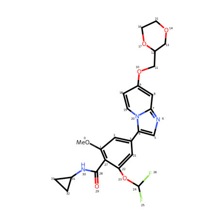 COc1cc(-c2cnc3cc(OCC4COCCO4)ccn23)cc(OC(F)F)c1C(=O)NC1CC1